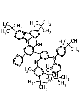 Cc1cc2c(cc1Nc1cc(N(c3ccc(C(C)(C)C)cc3)c3ccc(C(C)(C)C)cc3)ccc1-c1cc(-c3ccccc3)cc3c1Bc1cc(C(C)(C)C)cc4c5cc(C(C)(C)C)ccc5n-3c14)C(C)(C)CCC2(C)C